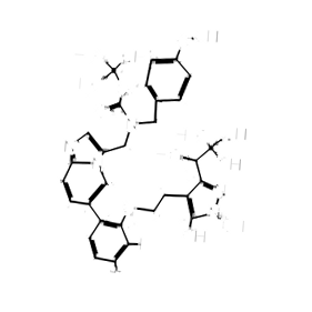 COc1ccc(CN(Cc2cnc3ccc(-c4ccc(F)c(F)c4OCCc4c(C(O)C(C)(C)C)nn(C)c4C)cn23)C(=O)OC(C)(C)C)cc1